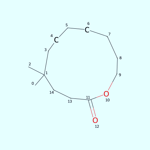 CC1(C)CCCCCCCOC(=O)CC1